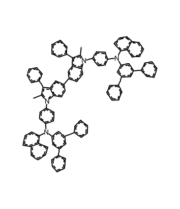 Cc1c(-c2ccccc2)c2cc(-c3ccc4c(c3)c(-c3ccccc3)c(C)n4-c3ccc(N(c4cc(-c5ccccc5)cc(-c5ccccc5)c4)c4cccc5ccccc45)cc3)ccc2n1-c1ccc(N(c2cc(-c3ccccc3)cc(-c3ccccc3)c2)c2cccc3ccccc23)cc1